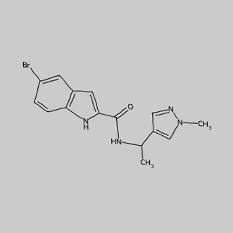 CC(NC(=O)c1cc2cc(Br)ccc2[nH]1)c1cnn(C)c1